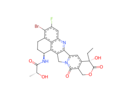 CC[C@@]1(O)C(=O)OCc2c1cc1n(c2=O)Cc2c-1nc1cc(F)c(Br)c3c1c2[C@@H](NC(=O)[C@@H](C)O)CC3